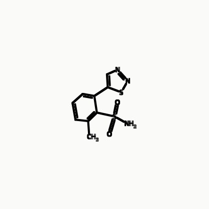 Cc1cccc(-c2cnns2)c1S(N)(=O)=O